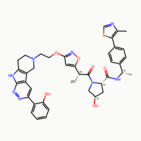 Cc1ncsc1-c1ccc([C@H](C)NC(=O)[C@@H]2C[C@@H](O)CN2C(=O)[C@@H](c2cc(OCCN3CCc4[nH]c5nnc(-c6ccccc6O)cc5c4C3)no2)C(C)C)cc1